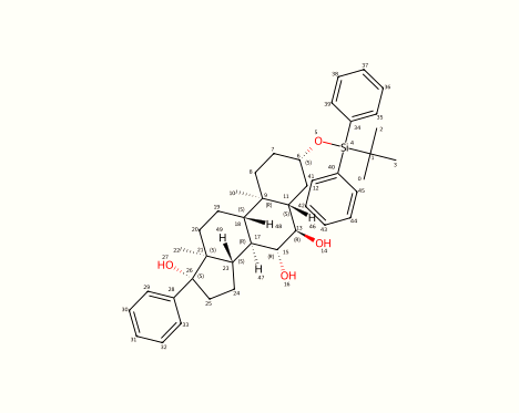 CC(C)(C)[Si](O[C@H]1CC[C@@]2(C)[C@H](C1)[C@@H](O)[C@H](O)[C@@H]1[C@@H]2CC[C@@]2(C)[C@H]1CC[C@@]2(O)c1ccccc1)(c1ccccc1)c1ccccc1